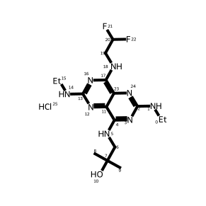 CCNc1nc(NCC(C)(C)O)c2nc(NCC)nc(NCC(F)F)c2n1.Cl